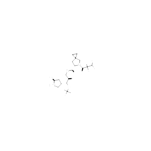 CC(C)C(F)(F)C(=O)N1CC2(CC2)C[C@H]1C(=O)N[C@@H](C[C@@H]1CCNC1=O)C(=O)COC(F)(F)F